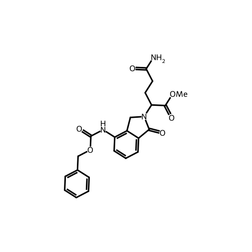 COC(=O)C(CCC(N)=O)N1Cc2c(NC(=O)OCc3ccccc3)cccc2C1=O